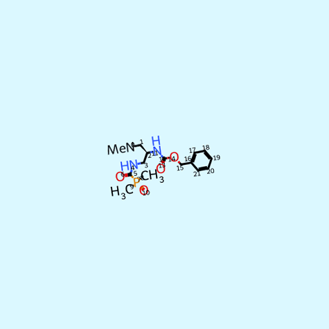 CNC[C@H](CNC(=O)P(C)(C)=O)NC(=O)OCc1ccccc1